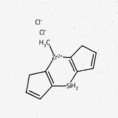 [CH3][Zr+2]1[C]2=C(C=CC2)[SiH2]C2=[C]1CC=C2.[Cl-].[Cl-]